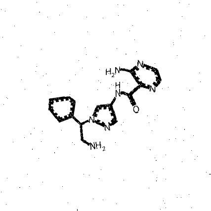 NCC(c1ccccc1)n1cc(NC(=O)c2nccnc2N)cn1